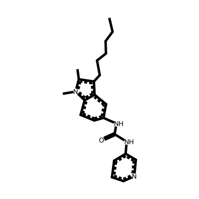 CCCCCCc1c(C)n(C)c2ccc(NC(=O)Nc3cccnc3)cc12